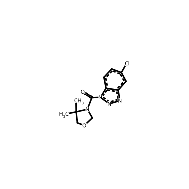 CC1(C)COCN1C(=O)n1nnc2cc(Cl)ccc21